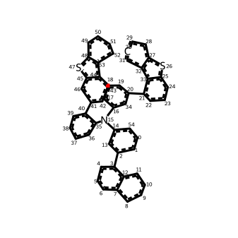 c1cc(-c2cccc3ccccc23)cc(N(c2cccc(-c3cccc4sc5ccccc5c34)c2)c2ccccc2-c2ccc3c(c2)sc2ccccc23)c1